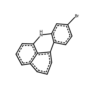 Brc1ccc2c(c1)Nc1cccc3cccc-2c13